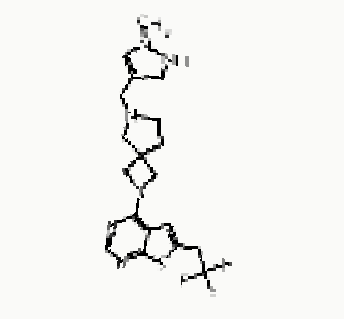 CN1C=C(CN2CCC3(C2)CN(c2ncnc4sc(CC(F)(F)F)cc24)C3)CN1